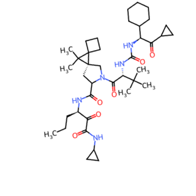 CCC[C@@H](NC(=O)C1C[C@]2(CN1C(=O)[C@H](NC(=O)N[C@H](C(=O)C1CC1)C1CCCCC1)C(C)(C)C)C(C)(C)C21CCC1)C(=O)C(=O)NC1CC1